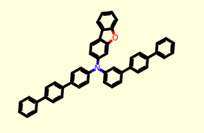 c1ccc(-c2ccc(-c3ccc(N(c4cccc(-c5ccc(-c6ccccc6)cc5)c4)c4ccc5c(c4)oc4ccccc45)cc3)cc2)cc1